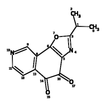 CC(C)c1nc2c(o1)-c1cnccc1C(=O)C2=O